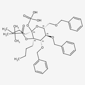 CCCC[C@]1(OP(=O)(O)O)O[C@H](COCc2ccccc2)[C@@H](OCc2ccccc2)[C@H](OCc2ccccc2)[C@@]1(CCCC)OC(=O)C(C)(C)C